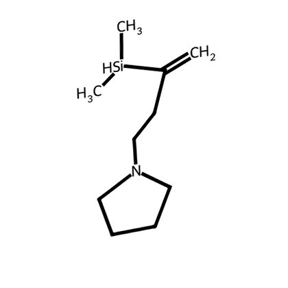 C=C(CCN1CCCC1)[SiH](C)C